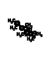 COc1cc2nc(C)nc(NC(C)c3cccc(-c4ccc(C)cc4C)c3)c2cc1OC